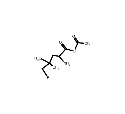 CC(C)(CF)CC(N)C(=O)OC(=O)C(F)(F)F